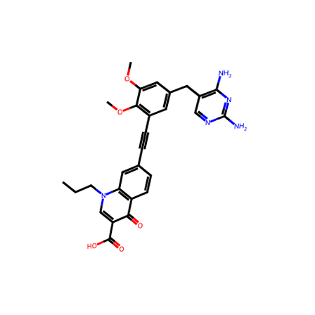 CCCn1cc(C(=O)O)c(=O)c2ccc(C#Cc3cc(Cc4cnc(N)nc4N)cc(OC)c3OC)cc21